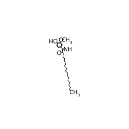 CCCCCCCCCCCCCCCCCC(=O)C(=N)c1ccc(O)c(OC)c1